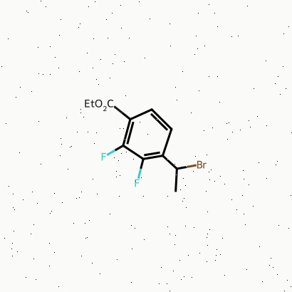 CCOC(=O)c1ccc(C(C)Br)c(F)c1F